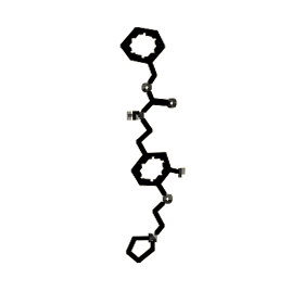 O=C(NCCc1ccc(OCCN2CCCC2)c(F)c1)OCc1ccccc1